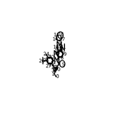 CCC#CC(=O)N(c1ccc2nn(C3CCOC3)cc2n1)c1cc(C)c(I)cc1C1CC1